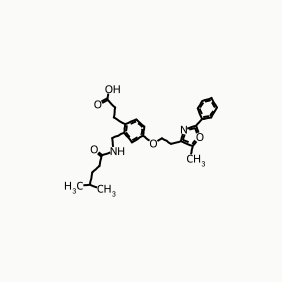 Cc1oc(-c2ccccc2)nc1CCOc1ccc(CCC(=O)O)c(CNC(=O)CCC(C)C)c1